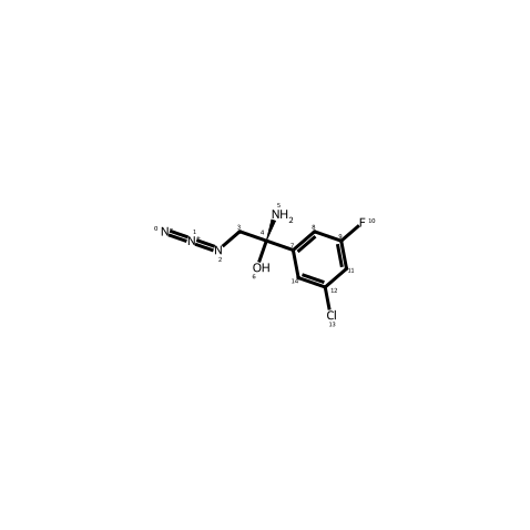 [N-]=[N+]=NC[C@@](N)(O)c1cc(F)cc(Cl)c1